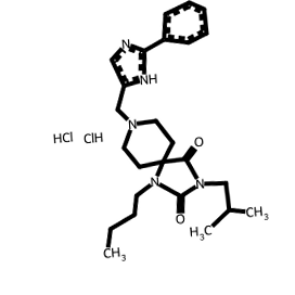 CCCCN1C(=O)N(CC(C)C)C(=O)C12CCN(Cc1cnc(-c3ccccc3)[nH]1)CC2.Cl.Cl